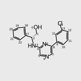 OC[C@H](Nc1cncc(-c2cccc(Cl)c2)n1)c1ccccc1